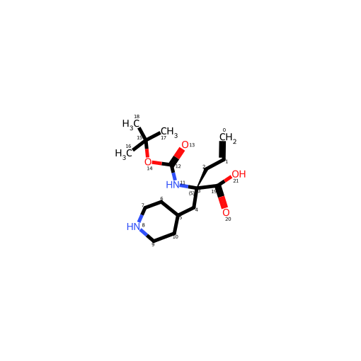 C=CC[C@@](CC1CCNCC1)(NC(=O)OC(C)(C)C)C(=O)O